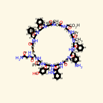 CCCC[C@H]1C(=O)N(C)CC(=O)N[C@@H](CC(=O)O)C(=O)N[C@@H](C(C)C)C(=O)N(C)[C@@H](Cc2ccccc2)C(=O)N[C@@H](Cc2ccc(N)cc2)C(=O)N(C)CC(=O)N[C@@H](Cc2c[nH]c3ccccc23)C(=O)N[C@@H](Cc2ccc(O)cc2)C(=O)N[C@@H](CC(C)C)C(=O)N[C@H](C(=O)NCC(N)=O)CSCC(=O)N[C@@H](Cc2ccccc2)C(=O)N(C)[C@@H](Cc2ccccc2)C(=O)N1C